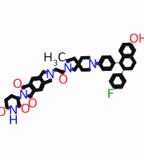 C[C@@H]1CC2(CCN(c3ccc([C@@H]4c5ccc(O)cc5CC[C@@H]4c4ccc(F)cc4)cc3)CC2)CN1C(=O)CN1Cc2cc3c(cc2C1)C(=O)N(C1CCC(=O)NC1=O)C3=O